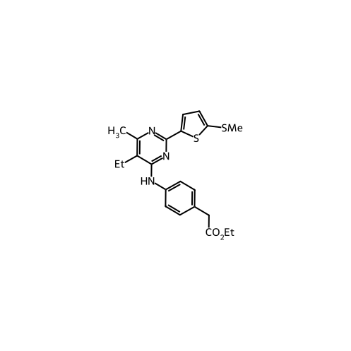 CCOC(=O)Cc1ccc(Nc2nc(-c3ccc(SC)s3)nc(C)c2CC)cc1